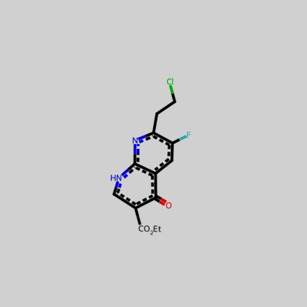 CCOC(=O)c1c[nH]c2nc(CCCl)c(F)cc2c1=O